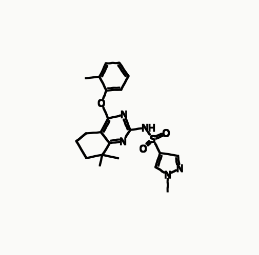 Cc1ccccc1Oc1nc(NS(=O)(=O)c2cnn(C)c2)nc2c1CCCC2(C)C